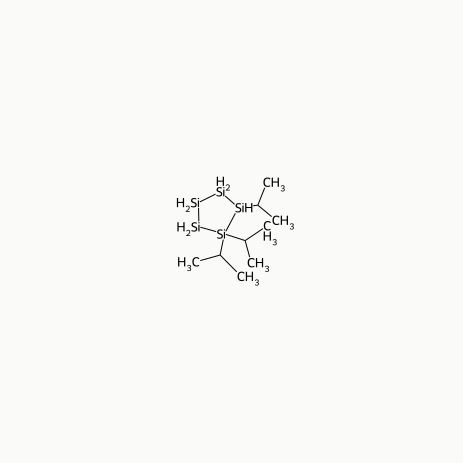 CC(C)[SiH]1[SiH2][SiH2][SiH2][Si]1(C(C)C)C(C)C